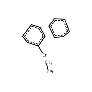 CCCC.CCc1ccccc1.c1ccccc1